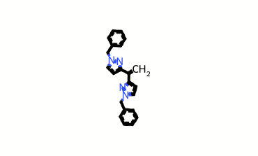 C=C(c1ccn(Cc2ccccc2)n1)c1ccn(Cc2ccccc2)n1